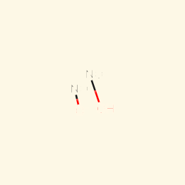 O=NO.O=[N+][O-]